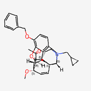 CO[C@@]12C=C[C@]3(C[C@H]1C(C)=O)[C@@H]1Cc4ccc(OCc5ccccc5)c5c4[C@]3(CCN1CC1CC1)[C@@H]2O5